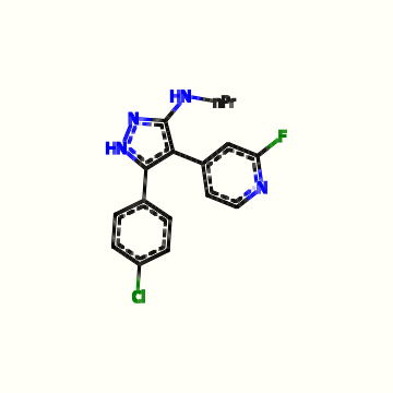 [CH2]CCNc1n[nH]c(-c2ccc(Cl)cc2)c1-c1ccnc(F)c1